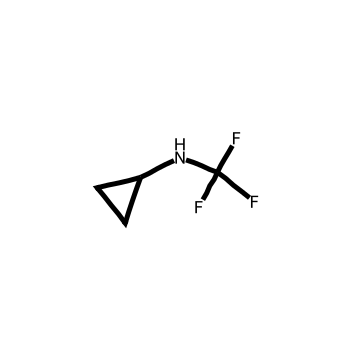 FC(F)(F)NC1CC1